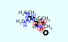 CNc1nc(N(C)C)c2ncn([C@@H]3O[C@@H]4C(O[P@@](=O)(N[C@@H](C)C(=O)OC(C)C)Oc5ccccc5)[C@]4(O)[C@@]3(C)F)c2n1